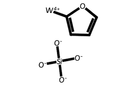 [O-][Si]([O-])([O-])[O-].[W+4][c]1ccco1